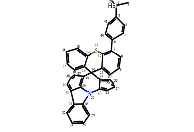 C[SiH](C)c1ccc(-c2cccc3c2Sc2ccccc2C32c3ccccc3-n3c4ccccc4c4cccc2c43)cc1